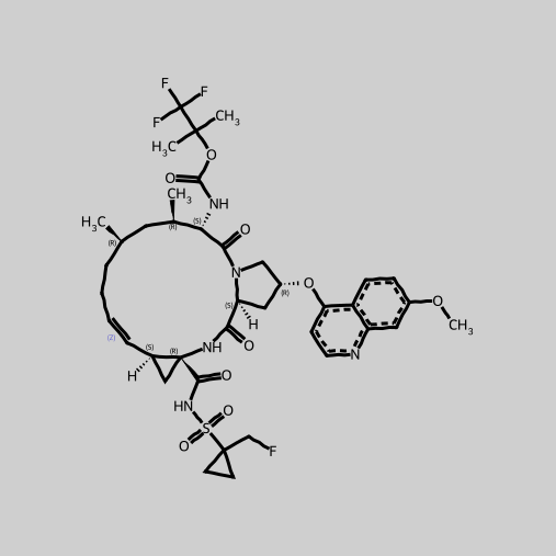 COc1ccc2c(O[C@@H]3C[C@H]4C(=O)N[C@]5(C(=O)NS(=O)(=O)C6(CF)CC6)C[C@H]5/C=C\CC[C@@H](C)C[C@@H](C)[C@H](NC(=O)OC(C)(C)C(F)(F)F)C(=O)N4C3)ccnc2c1